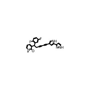 Cn1cccc(C(CC#CC#Cc2c[nH]c(-c3cc[nH]n3)c2)c2cc(F)ccc2F)c1=O